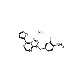 N.Nc1ccc(Cn2nnc3c(-c4ccco4)ncnc32)cc1F